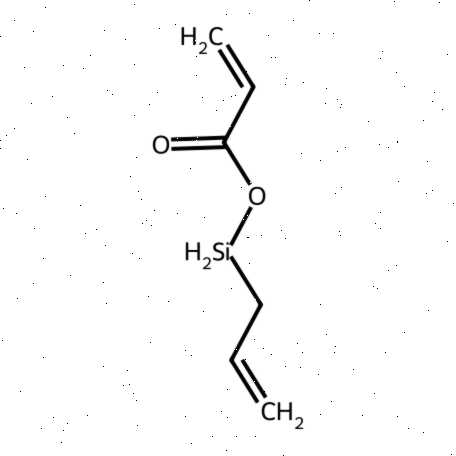 C=CC[SiH2]OC(=O)C=C